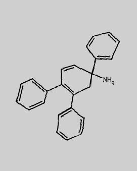 NC1(c2ccccc2)C=CC(c2ccccc2)=C(c2ccccc2)C1